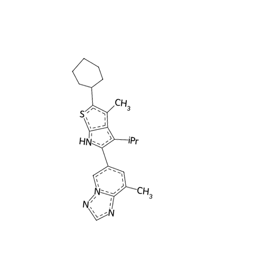 Cc1c(C2CCCCC2)sc2[nH]c(-c3cc(C)c4ncnn4c3)c(C(C)C)c12